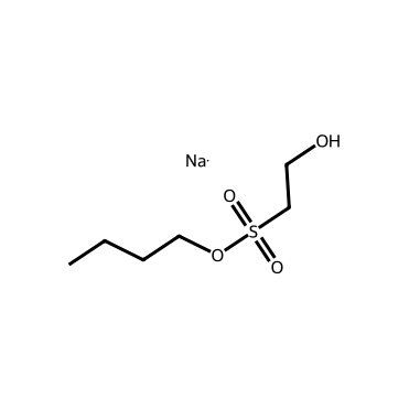 CCCCOS(=O)(=O)CCO.[Na]